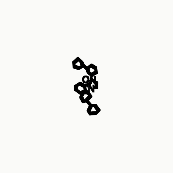 O=P1(c2ccccc2)N(c2cccc(-c3ccccc3)c2)C=CN1c1cccc(-c2ccccc2)c1